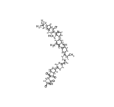 C[C@H]1C[C@]2(CCN1c1ccc(Nc3cc(-c4ccnc(N5CCn6c(cc7c6CC(C)(C)C7)C5=O)c4CO)cn(C)c3=O)nc1)C[C@H]2N1CCN(c2ccc3c(c2)C(=O)N(C2CCC(=O)NC2=O)C3=O)CC1